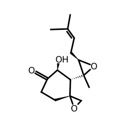 CC(C)=CC[C@H]1OC1(C)[C@H]1[C@H](O)C(=O)CC[C@]12CO2